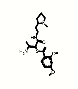 C=C(S/C(C(=O)NCCC1CCCN1C)=C(/C)N)c1ccc(OC)cc1OC